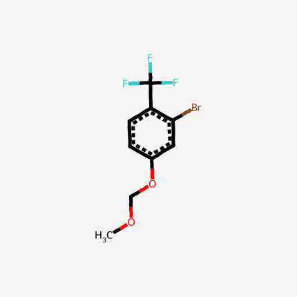 COCOc1ccc(C(F)(F)F)c(Br)c1